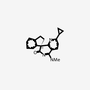 CNC1=NC(=O)[C@]2(CCc3ccccc32)c2nc(C3CC3)ccc21